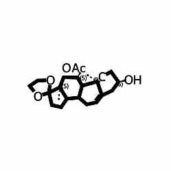 CC(=O)O[C@H]1C[C@@]2(C)C(CCC23OCCO3)C2CC=C3C[C@@H](O)CC[C@]3(C)C21